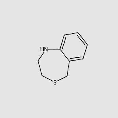 c1ccc2c(c1)CSCCN2